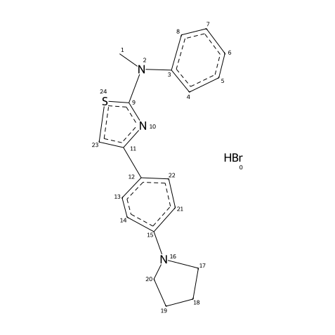 Br.CN(c1ccccc1)c1nc(-c2ccc(N3CCCC3)cc2)cs1